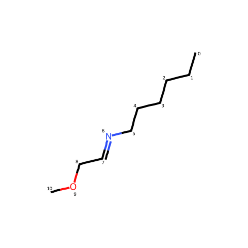 CCCCCCN=CCOC